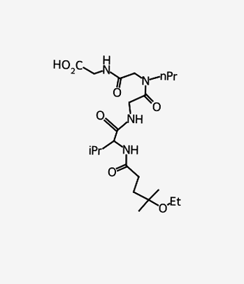 CCCN(CC(=O)NCC(=O)O)C(=O)CNC(=O)C(NC(=O)CCC(C)(C)OCC)C(C)C